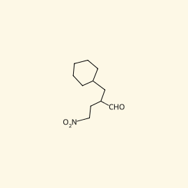 O=CC(CC[N+](=O)[O-])CC1CCCCC1